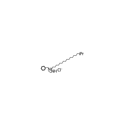 CC(C)CCCCCCCCCCCCCCCC1=[N+](Cc2ccccc2)CCN1.[Cl-]